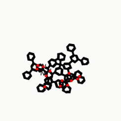 c1ccc(-c2cc(-c3ccccc3)cc(-c3cc(-c4cc(-c5ccccc5)cc(-c5ccccc5)c4)cc(C4(c5cc(-c6cc(-c7ccccc7)cc(-c7ccccc7)c6)cc(-c6cc(-c7ccccc7)cc(-c7ccccc7)c6)c5)c5ccccc5-c5ccc(-c6nc(-c7cc(-c8ccccc8)cc(-c8ccccc8)c7)nc(-c7cc(-c8ccccc8)cc(-c8ccccc8)c7)n6)cc54)c3)c2)cc1